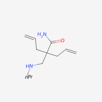 C=CCC(CC=C)(CNCCC)C(N)=O